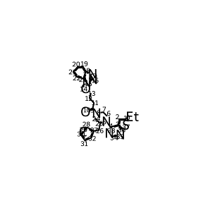 CCc1cc2c(N3CCN(C(=O)CCCOn4nnc5ccccc54)CC3Cc3ccccc3)ncnc2s1